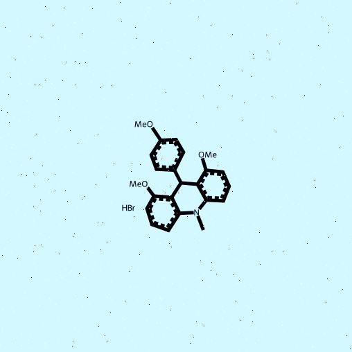 Br.COc1ccc(C2c3c(OC)cccc3N(C)c3cccc(OC)c32)cc1